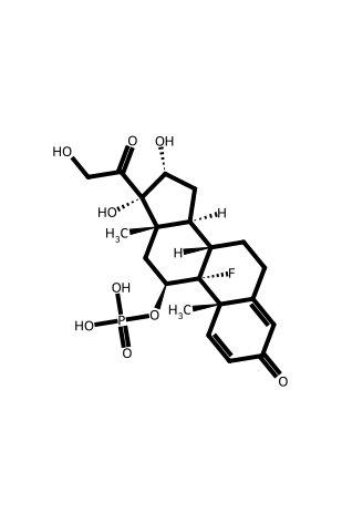 C[C@]12C=CC(=O)C=C1CC[C@H]1[C@@H]3C[C@@H](O)[C@](O)(C(=O)CO)[C@@]3(C)C[C@H](OP(=O)(O)O)[C@@]12F